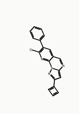 Clc1nc2c(cnc3cc(C4=CC=C4)nn32)cc1-c1ccccc1